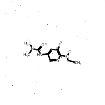 CC[S+]([O-])c1ncc(NC(=O)N(C)C)cc1F